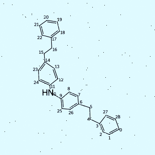 c1ccc(CCc2ccc(Nc3ccc(CCc4ccccc4)cc3)cc2)cc1